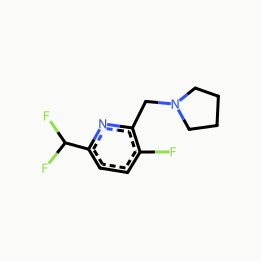 Fc1ccc(C(F)F)nc1CN1CCCC1